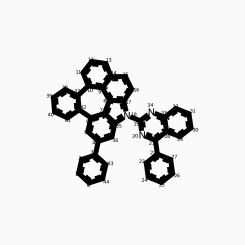 c1ccc(-c2cc3c4c5c6c(cccc6ccc5n(-c5nc(-c6ccccc6)c6ccccc6n5)c4c2)-c2ccccc2-3)cc1